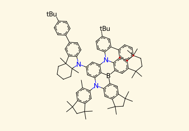 Cc1cc2c(cc1N1c3cc4c(cc3B3c5cc6c(cc5N(c5ccc(C(C)(C)C)cc5-c5ccccc5)c5cc(N7c8ccc(-c9ccc(C(C)(C)C)cc9)cc8C8(C)CCCCC78C)cc1c53)C(C)(C)CCC6(C)C)C(C)(C)CC4(C)C)C(C)(C)CC2(C)C